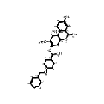 COC1=C(OC(O)C2=CCC(OCC3C=CCCC3)CC2)CC2OC(O)C3C=C(C(C)=O)CC[C@@H]3C2C1